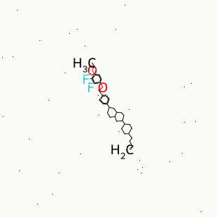 C=CCCC1CCC(C2CCC3CC(c4ccc(COc5ccc(OCC)c(F)c5F)cc4)CCC3C2)CC1